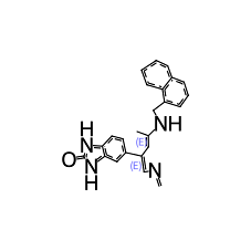 C=N/C=C(\C=C(/C)NCc1cccc2ccccc12)c1ccc2[nH]c(=O)[nH]c2c1